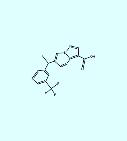 CC(c1cccc(C(F)(F)F)c1)c1cnc2c(C(=O)O)cnn2c1